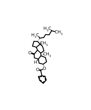 CC(C)CCCC(C)[C@H]1CCC2C3C(=O)C[C@H]4C[C@@H](OC(=O)c5ccccc5)CC[C@]4(C)C3CC[C@@]21C